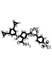 CCS(=O)(=O)c1ccc([C@H](CC#N)NC(=O)c2ccc(N(C)c3cc(C4CC4)cc(C4CC4)c3)c(C(N)=O)c2)cc1